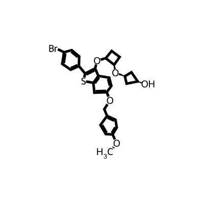 COc1ccc(COc2ccc3c(OC4CC[C@H]4O[C@H]4C[C@H](O)C4)c(-c4ccc(Br)cc4)sc3c2)cc1